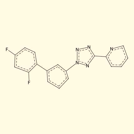 Fc1ccc(-c2cccc(-n3nnc(-c4ccccn4)n3)c2)c(F)c1